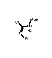 CCCCCN=C(N)NCCCCC.Cl